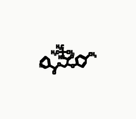 Cc1ccc(OC(COC(=O)c2cccnc2)C(=O)NC(C)(C)C)cc1